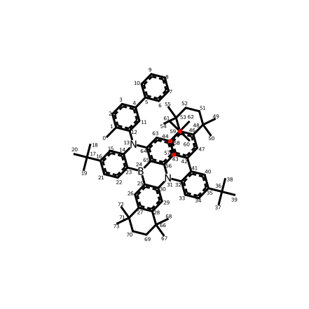 Cc1ccc(-c2ccccc2)cc1N1c2cc(C(C)(C)C)ccc2B2c3cc4c(cc3N(c3ccc(C(C)(C)C)cc3-c3ccc5c(c3)C(C)(C)CCC5(C)C)c3cc(C(C)(C)C)cc1c32)C(C)(C)CCC4(C)C